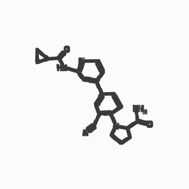 N#Cc1cc(-c2ccnc(NC(=O)C3CC3)c2)ccc1N1CCCC1C(N)=O